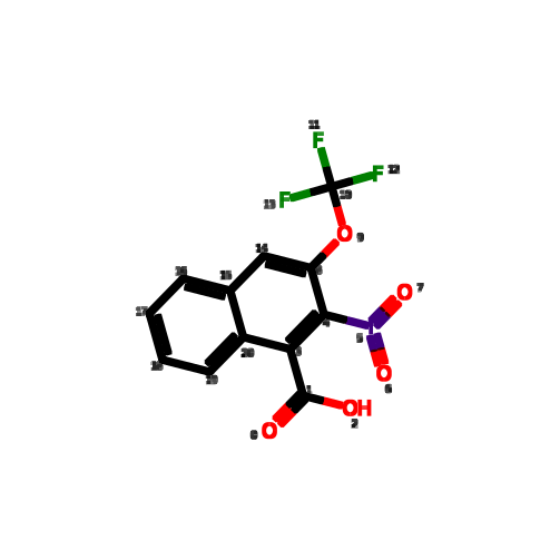 O=C(O)c1c(I(=O)=O)c(OC(F)(F)F)cc2ccccc12